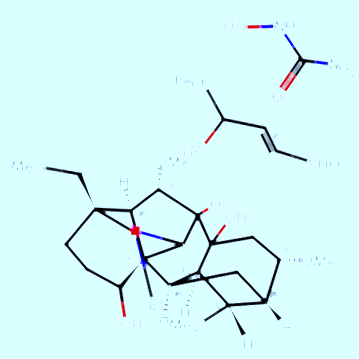 CCCCCC(O)/C=C/C=O.CCN1C[C@]2(COC)CCC(O)[C@]34C1C(O)([C@@H](OC)[C@H]23)C1(O)C[C@H](OC)[C@H]2C[C@@H]4[C@@H]1[C@H]2OC.NC(=O)NO